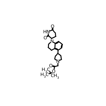 CC(C)(C)OC(=O)CN1CCC(c2cccc3c2CCCN3[C@H]2CCC(=O)NC2=O)CC1